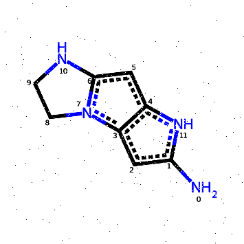 Nc1cc2c(cc3n2CCN3)[nH]1